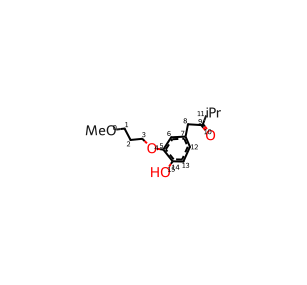 COCCCOc1cc(CC(=O)C(C)C)ccc1O